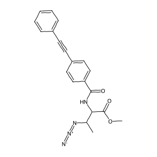 COC(=O)C(NC(=O)c1ccc(C#Cc2ccccc2)cc1)C(C)N=[N+]=[N-]